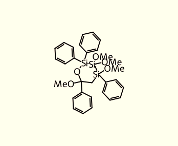 COC1(c2ccccc2)C[Si](OC)(c2ccccc2)[Si](OC)(OC)[Si](c2ccccc2)(c2ccccc2)O1